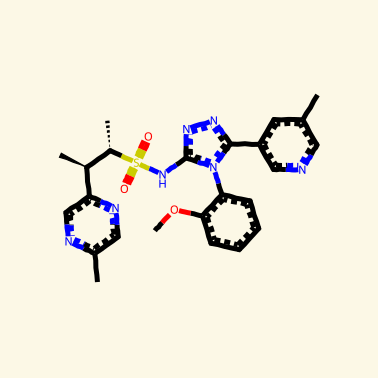 COc1ccccc1-n1c(NS(=O)(=O)[C@@H](C)[C@H](C)c2cnc(C)cn2)nnc1-c1cncc(C)c1